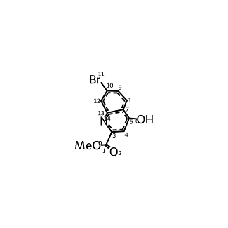 COC(=O)c1cc(O)c2ccc(Br)cc2n1